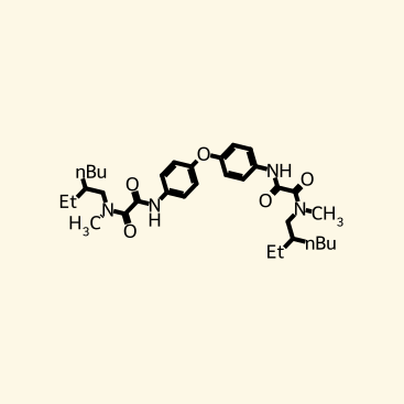 CCCCC(CC)CN(C)C(=O)C(=O)Nc1ccc(Oc2ccc(NC(=O)C(=O)N(C)CC(CC)CCCC)cc2)cc1